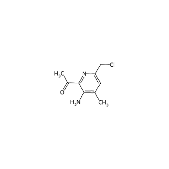 CC(=O)c1nc(CCl)cc(C)c1N